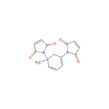 CC1(N2C(=O)C=CC2=O)C=CC=C(N2C(=O)C=CC2=O)C1